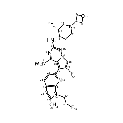 CNc1nc(N[C@H]2CCN(C3COC3)C[C@H]2F)nn2cc(F)c(-c3ccc4nc(C)n(CCF)c4n3)c12